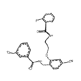 N#Cc1ccc(CNC(=O)c2cccc(Cl)c2)c(OCCNC(=O)c2ccccc2F)c1